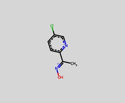 C/C(=N\O)c1ccc(Cl)cn1